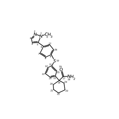 Cn1nccc1-c1ccc(Sc2cccc(C3(C(N)=O)CCCCC3)c2)cc1